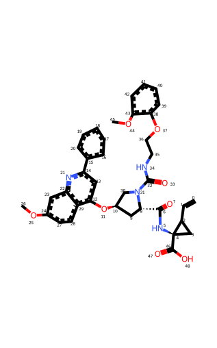 C=CC1C[C@]1(NC(=O)[C@@H]1C[C@@H](Oc2cc(-c3ccccc3)nc3cc(OC)ccc23)CN1C(=O)NCCOc1ccccc1OC)C(=O)O